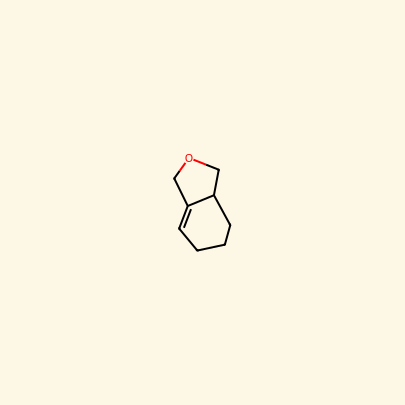 C1=C2COCC2CCC1